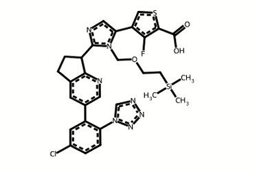 C[Si](C)(C)CCOCn1c(-c2csc(C(=O)O)c2F)cnc1C1CCc2cc(-c3cc(Cl)ccc3-n3cnnn3)cnc21